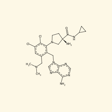 CN(C)Cc1cc(Cl)c(Cl)c(N2CC[C@](N)(C(=O)NC3CC3)C2)c1Cn1cnc2c(N)ncnc21